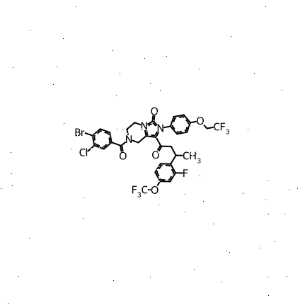 CC(CC(=O)c1c2n(c(=O)n1-c1ccc(OCC(F)(F)F)cc1)CCN(C(=O)c1ccc(Br)c(Cl)c1)C2)c1ccc(OC(F)(F)F)cc1F